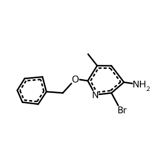 Cc1cc(N)c(Br)nc1OCc1ccccc1